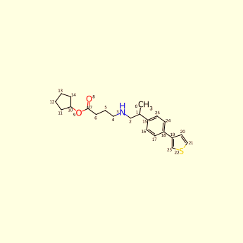 CC(CNCCCC(=O)OC1CCCC1)c1ccc(-c2ccsc2)cc1